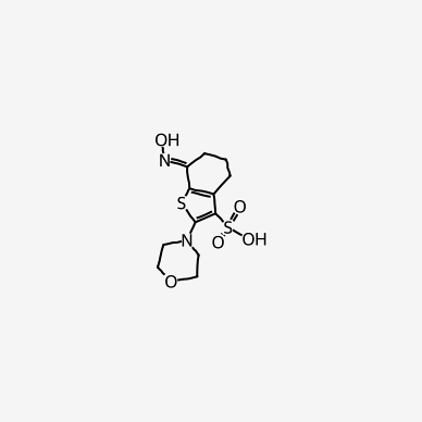 O=S(=O)(O)c1c(N2CCOCC2)sc2c1CCCC2=NO